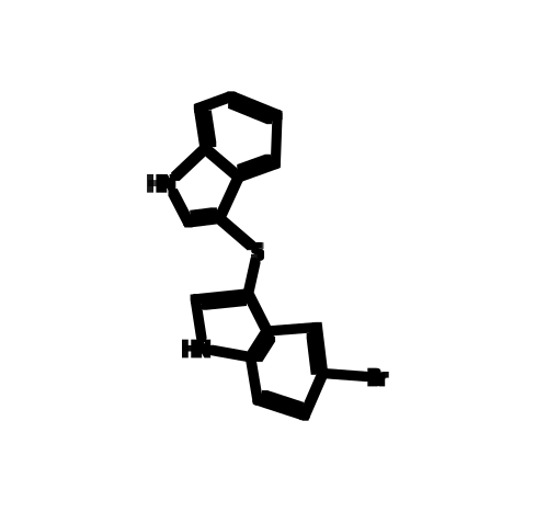 Brc1ccc2[nH]cc(Sc3c[nH]c4ccccc34)c2c1